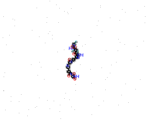 O=C1CCC(N2Cc3cc(C4CCN(C[C@@H]5CCN(c6ccc(-c7cnc8[nH]cc(C(=O)c9c(F)ccc(NS(=O)(=O)N%10CC[C@@H](F)C%10)c9F)c8c7)cc6)C(=O)C5)CC4)ccc3C2=O)C(=O)N1